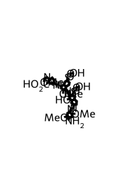 CO/C=N\c1ccc(N=Nc2cc(OC)c(N=Nc3c(SOOO)cc4ccc(N=Nc5cc(OC)c(N)cc5OC)cc4c3O)c3ccc(SOOO)cc23)cc1C(=O)O